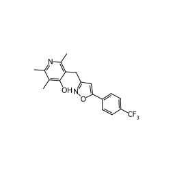 Cc1nc(C)c(Cc2cc(-c3ccc(C(F)(F)F)cc3)on2)c(O)c1C